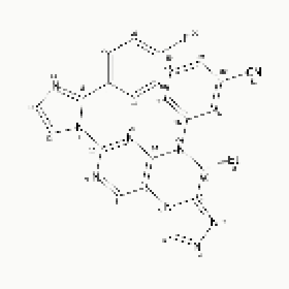 CC[C@@H]1c2nncn2-c2cnc(-n3ccnc3-c3ccc(F)cc3)nc2N1c1cccc(C#N)c1